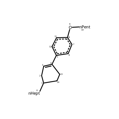 CCCCCCCC1CC=C(c2ccc(OCCCCC)cc2)CC1